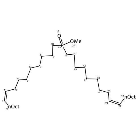 CCCCCCCC/C=C\CCCCCCCCP(=O)(CCCCCCCC/C=C\CCCCCCCC)OC